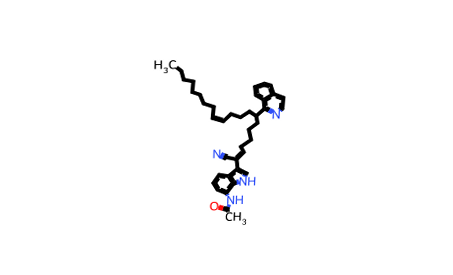 CCCCCCCC/C=C\CCCC(CCCC/C=C(\C#N)c1c[nH]c2c(NC(C)=O)cccc12)c1nccc2ccccc12